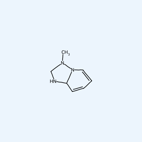 CN1CNC2C=CC=CN21